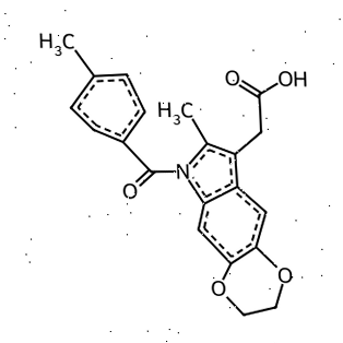 Cc1ccc(C(=O)n2c(C)c(CC(=O)O)c3cc4c(cc32)OCCO4)cc1